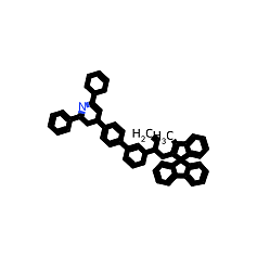 C=CC(CC1=C(C)c2ccccc2C12c1ccccc1-c1ccccc12)C1C=C(c2ccc(C3C=C(C4CC=CCC4)N=C(c4ccccc4)C3)cc2)C=CC1